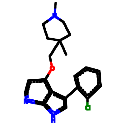 CN1CCC(C)(COc2ccnc3[nH]cc(-c4ccccc4Cl)c23)CC1